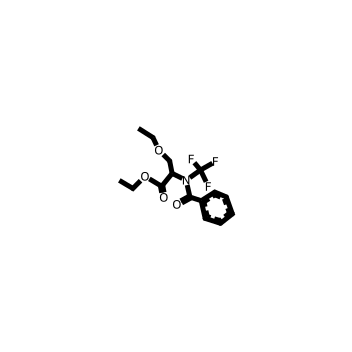 CCOCC(C(=O)OCC)N(C(=O)c1ccccc1)C(F)(F)F